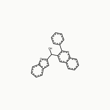 OC(c1cc2ccccc2o1)c1cc2ccccc2nc1-c1ccccc1